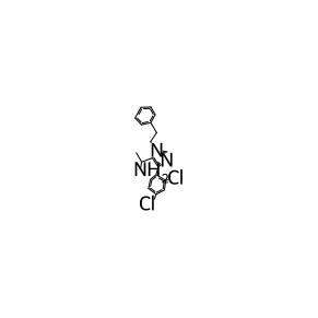 CC(N)c1c(-c2ccc(Cl)cc2Cl)ncn1CCc1ccccc1